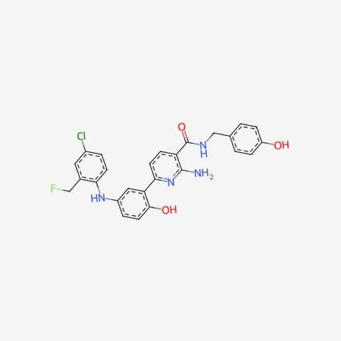 Nc1nc(-c2cc(Nc3ccc(Cl)cc3CF)ccc2O)ccc1C(=O)NCc1ccc(O)cc1